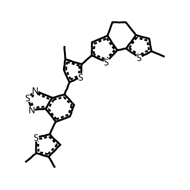 Cc1cc2c(s1)-c1sc(-c3sc(-c4ccc(-c5cc(C)c(C)s5)c5nsnc45)cc3C)cc1CC2